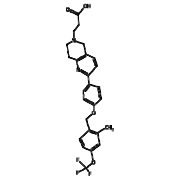 Cc1cc(OC(F)(F)F)ccc1COc1ccc(-c2ccc3c(n2)CCN(CCC(=O)O)C3)cc1